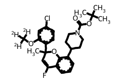 [2H]C([2H])([2H])Oc1cc(Cl)ccc1C1(C)C=C(F)c2cccc(C3CCN(C(=O)OC(C)(C)C)CC3)c2O1